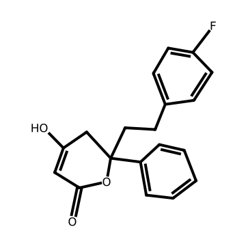 O=C1C=C(O)CC(CCc2ccc(F)cc2)(c2ccccc2)O1